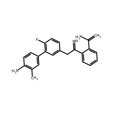 C=C(N)c1ccccc1C(=N)Cc1ccc(F)c(-c2ccc(N)c(C)c2)c1